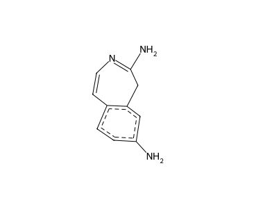 NC1=NC=Cc2ccc(N)cc2C1